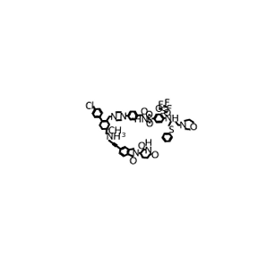 C[C@@]1(CNCC#Cc2ccc3c(c2)CN(C2CCC(=O)NC2=O)C3=O)CCC(c2ccc(Cl)cc2)=C(CN2CCN(c3ccc(C(=O)NS(=O)(=O)c4ccc(N[C@H](CCN5CCCOCC5)CSc5ccccc5)c(S(=O)(=O)C(F)(F)F)c4)cc3)CC2)C1